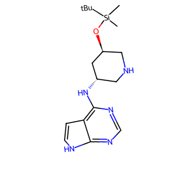 CC(C)(C)[Si](C)(C)O[C@H]1CNC[C@H](Nc2ncnc3[nH]ccc23)C1